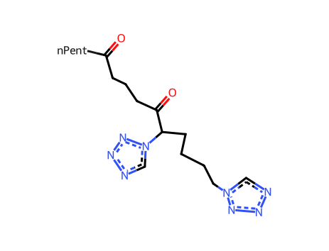 CCCCCC(=O)CCCC(=O)C(CCCCn1cnnn1)n1cnnn1